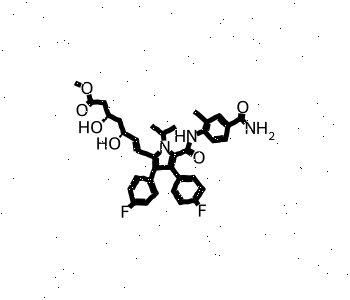 COC(=O)C[C@H](O)C[C@@H](O)C=Cc1c(-c2ccc(F)cc2)c(-c2ccc(F)cc2)c(C(=O)Nc2ccc(C(N)=O)cc2C)n1C(C)C